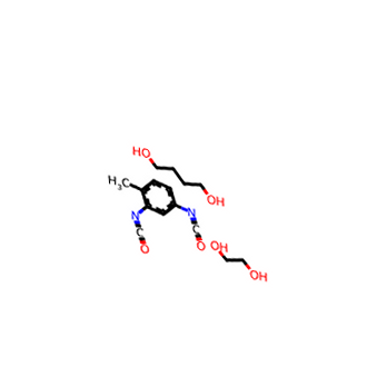 Cc1ccc(N=C=O)cc1N=C=O.OCCCCO.OCCO